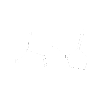 O=C(ON1CCCC1=O)N(S)S